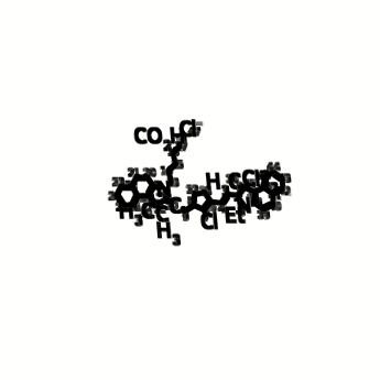 CC[N+]1=C(/C=C/C2=C(Cl)C(C=C=C3N(CCCCCC(=O)O)c4ccc5ccccc5c4C3(C)C)CC2)C(C)(C)c2c1ccc1ccccc21.[Cl-]